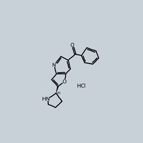 Cl.O=C(c1ccccc1)c1cnc2cc([C@H]3CCCN3)oc2c1